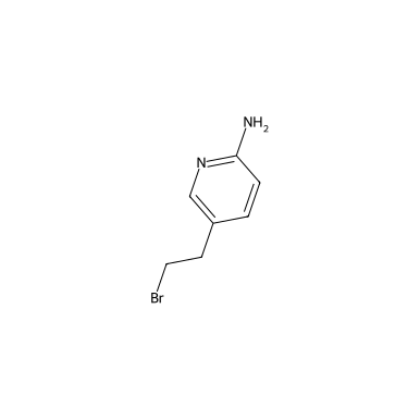 Nc1ccc(CCBr)cn1